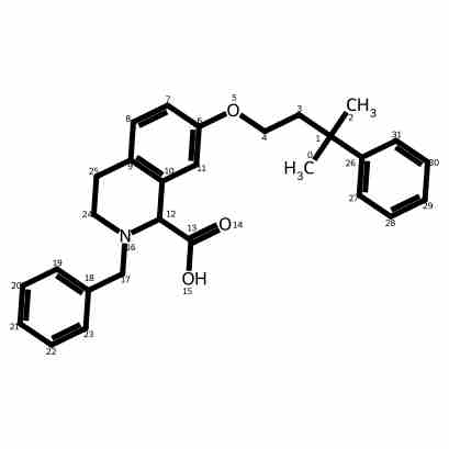 CC(C)(CCOc1ccc2c(c1)C(C(=O)O)N(Cc1ccccc1)CC2)c1ccccc1